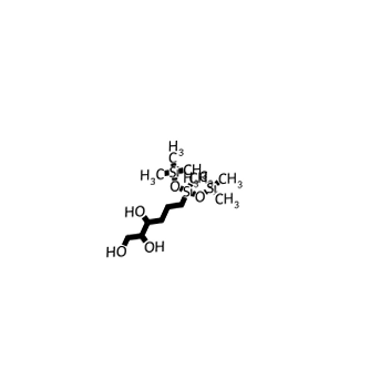 C[Si](C)(C)O[Si](C)(CCCC(O)C(O)CO)O[Si](C)(C)C